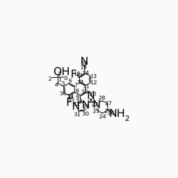 CC(C)(O)Cc1ccc(-c2c(-c3ccc(C#N)c(F)c3)nc(N3CCC(N)CC3)n3ccnc23)c(F)c1